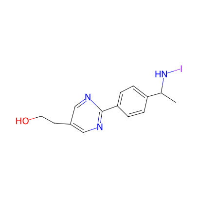 CC(NI)c1ccc(-c2ncc(CCO)cn2)cc1